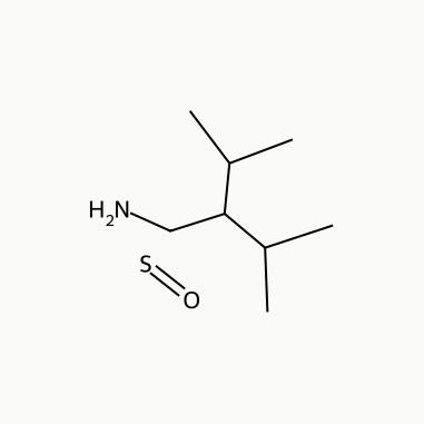 CC(C)C(CN)C(C)C.O=S